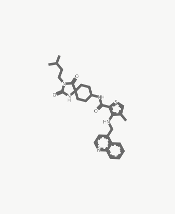 Cc1csc(C(=O)NC2CCC3(CC2)NC(=O)N(CCC(C)C)C3=O)c1NCc1ccnc2ccccc12